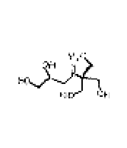 CCC(CO)(CO)NCC(O)CO